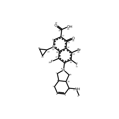 CNC1C=CCC2CN(c3c(F)c(Br)c4c(=O)c(C(=O)O)cn(C5CC5)c4c3F)CC21